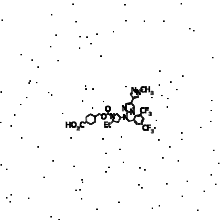 CCC1CC(N(Cc2cc(C(F)(F)F)cc(C(F)(F)F)c2)c2ncc(-c3cnn(C)c3)cn2)CN1C(=O)OCC1CCC(C(=O)O)CC1